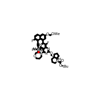 COCOc1cc(-c2nc(OC)c3c(N4CCCOCC4)nc(OC[C@]45CCC[C@H]4N(C(=O)OC(C)(C)C)CCC5)nc3c2F)c2c(C#C[Si](C(C)C)(C(C)C)C(C)C)c(F)ccc2c1